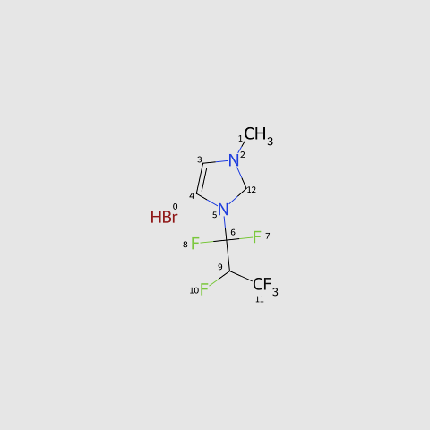 Br.CN1C=CN(C(F)(F)C(F)C(F)(F)F)C1